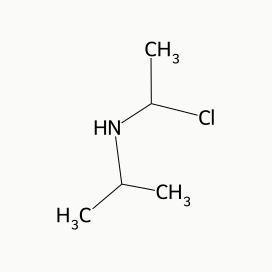 CC(C)NC(C)Cl